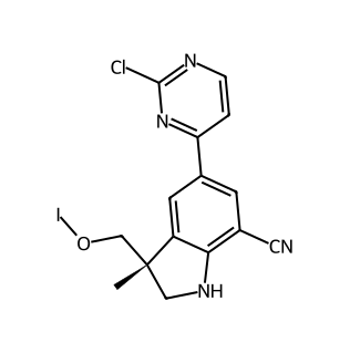 C[C@]1(COI)CNc2c(C#N)cc(-c3ccnc(Cl)n3)cc21